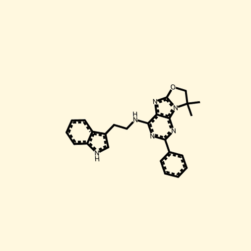 CC1(C)COc2nc3c(NCCc4c[nH]c5ccccc45)nc(-c4ccccc4)nc3n21